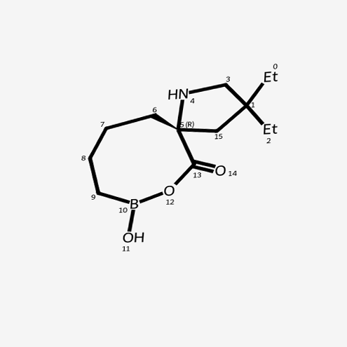 CCC1(CC)CN[C@]2(CCCCB(O)OC2=O)C1